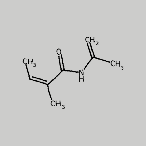 C=C(C)NC(=O)/C(C)=C\C